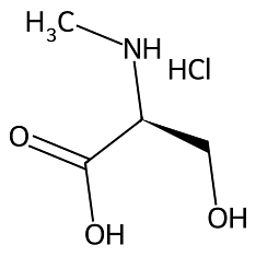 CN[C@@H](CO)C(=O)O.Cl